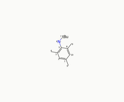 Cc1cc(C)c([N]C(C)(C)C)c(C)c1